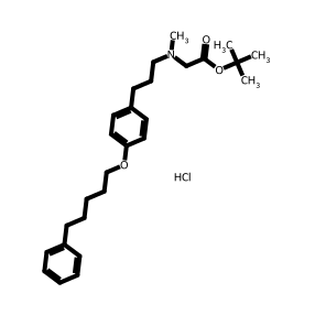 CN(CCCc1ccc(OCCCCCc2ccccc2)cc1)CC(=O)OC(C)(C)C.Cl